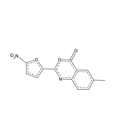 Cc1ccc2nc(-c3ccc([N+](=O)[O-])o3)oc(=O)c2c1